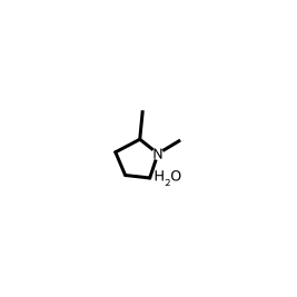 CC1CCCN1C.O